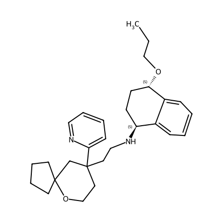 CCCO[C@H]1CC[C@H](NCCC2(c3ccccn3)CCOC3(CCCC3)C2)c2ccccc21